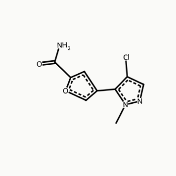 Cn1ncc(Cl)c1-c1coc(C(N)=O)c1